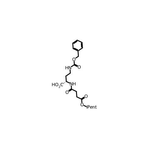 CCCC(C)OC(=O)CCC(=O)N[C@@H](CCNC(=O)OCc1ccccc1)C(=O)O